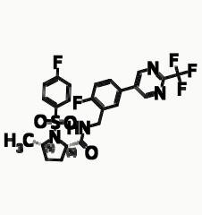 C[C@H]1CC[C@@H](C(=O)NCc2cc(-c3cnc(C(F)(F)F)nc3)ccc2F)N1S(=O)(=O)c1ccc(F)cc1